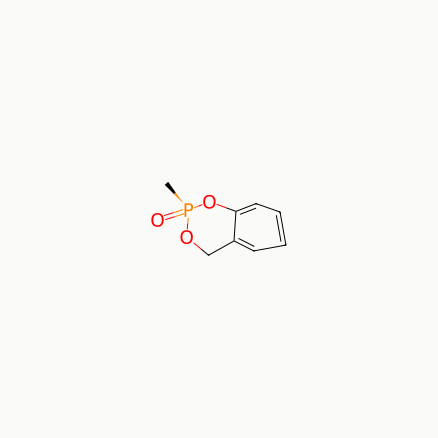 C[P@]1(=O)OCc2ccccc2O1